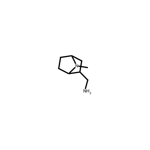 CN1C2CCC1C(CN)C2